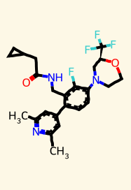 Cc1cc(-c2ccc(N3CCO[C@H](C(F)(F)F)C3)c(F)c2CNC(=O)CC2CC2)cc(C)n1